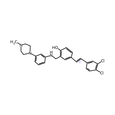 CN1CCN(c2cccc(NCc3cc(/C=C/c4ccc(Cl)c(Cl)c4)ccc3O)c2)CC1